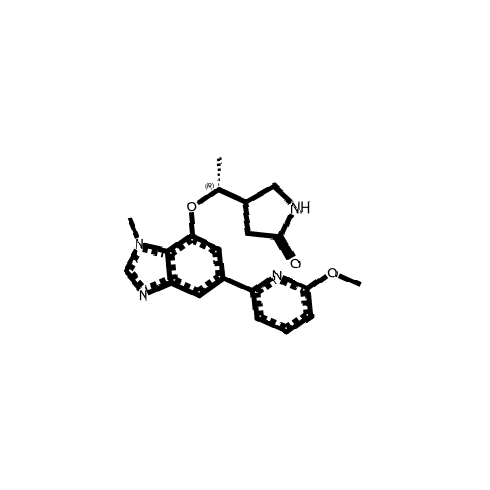 COc1cccc(-c2cc(O[C@H](C)C3CNC(=O)C3)c3c(c2)ncn3C)n1